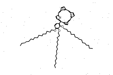 CCCCCCCCCCCCCCCCOc1ccc(C2=C3C=CC(=N3)C=C3C=CC(=N3)C=C3C=CC(=N3)C=C3C=CC2=N3)c(OCCCCCCCCCCCCCCCC)c1OCCCCCCCCCCCCCCCC